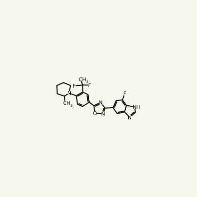 CC1CCCCN1c1ccc(-c2nc(-c3cc(F)c4[nH]cnc4c3)no2)cc1C(C)(F)F